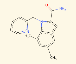 Cc1cc(C)c2c(c1)cc(C(N)=O)n2Cc1ccccn1